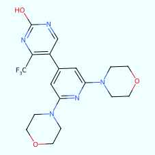 Oc1ncc(-c2cc(N3CCOCC3)nc(N3CCOCC3)c2)c(C(F)(F)F)n1